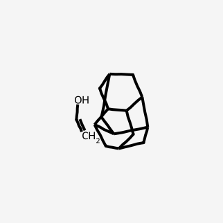 C1C2CC3C4CC5CC(C14)C(C2)C3C5.C=CO